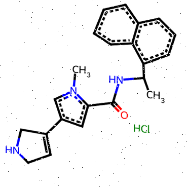 CC(NC(=O)c1cc(C2=CCNC2)cn1C)c1cccc2ccccc12.Cl